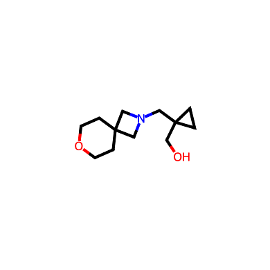 OCC1(CN2CC3(CCOCC3)C2)CC1